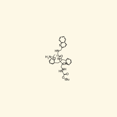 CC(C)(C)OC(=O)NNC[C@H](O)C(Cc1ccccc1)(Cc1ccccc1)NC(=O)[C@H](CC(N)=O)NCc1ccc2ccccc2n1